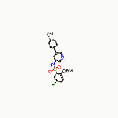 COc1ccc(F)cc1S(=O)(=O)Nc1cncc(-c2ccc(C#N)cc2)c1